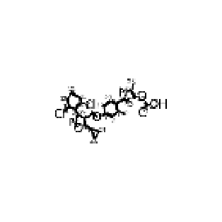 Cc1cc(OCc2c(-c3c(Cl)cccc3Cl)noc2C2CC2)ccc1-c1nc(C)c(OC(=O)O)s1